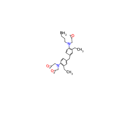 BCCCN(CC1CO1)c1ccc(Cc2ccc(N(CC3CO3)CC3CO3)c(CC)c2)cc1CC